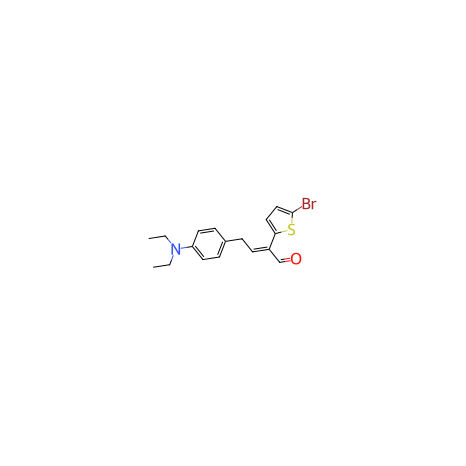 CCN(CC)c1ccc(CC=C(C=O)c2ccc(Br)s2)cc1